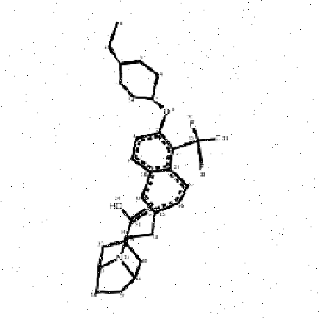 CC[C@H]1CC[C@@H](Oc2ccc3cc(CCN4C5CCC4CC(C(=O)O)C5)ccc3c2C(F)(F)F)CC1